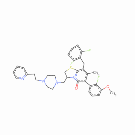 COc1cccc(-c2c(C)c(Cc3c(F)cccc3F)c3n(c2=O)C(CN2CCN(CCc4ccccn4)CC2)CS3)c1F